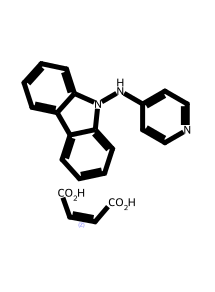 O=C(O)/C=C\C(=O)O.c1ccc2c(c1)c1ccccc1n2Nc1ccncc1